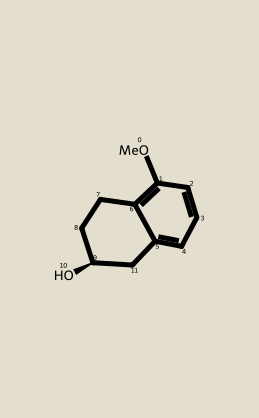 COc1cccc2c1CC[C@H](O)C2